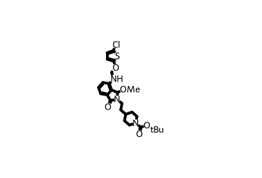 COC1c2c(NCOc3ccc(Cl)s3)cccc2C(=O)N1CCC1CCN(C(=O)OC(C)(C)C)CC1